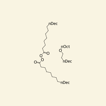 CCCCCCCCCCCCCCCCCC(=O)OOC(=O)CCCCCCCCCCCCCCCCC.CCCCCCCCCCCCOCCCCCCCC